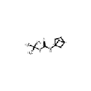 CC(C)(C)OC(=O)NC12CCC(C1)C2